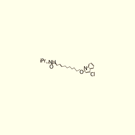 CC(C)CNC(=O)C=CC=CCCCCCCCOc1cc(Cl)c2ccccc2n1